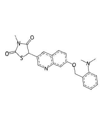 CN1C(=O)SC(c2cnc3cc(OCc4ccccc4N(C)C)ccc3c2)C1=O